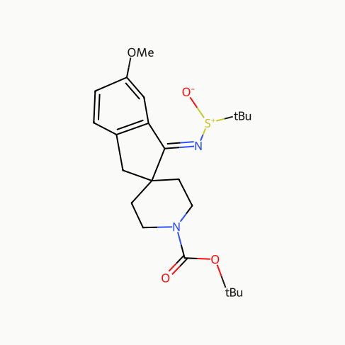 COc1ccc2c(c1)C(=N[S+]([O-])C(C)(C)C)C1(CCN(C(=O)OC(C)(C)C)CC1)C2